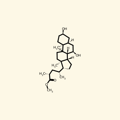 COC(=O)[C@H](C)C[C@@H](C)[C@H]1CC[C@H]2[C@H]3[C@H](O)C[C@@H]4C[C@H](O)CC[C@]4(C)[C@H]3CC[C@]12C